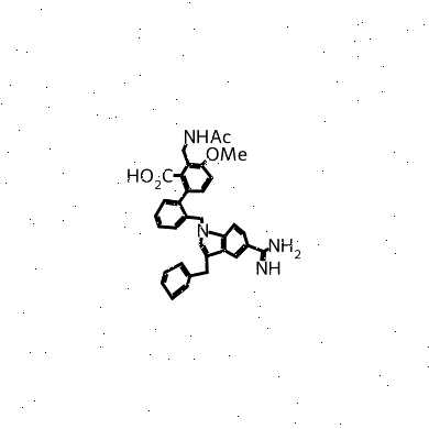 COc1ccc(-c2ccccc2Cn2cc(Cc3ccccc3)c3cc(C(=N)N)ccc32)c(C(=O)O)c1CNC(C)=O